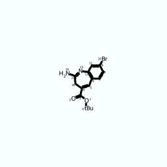 CC(C)(C)OC(=O)C1=Cc2ccc(Br)cc2N=C(N)C1